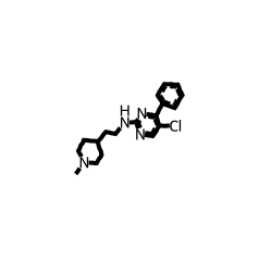 CN1CCC(CCNc2ncc(Cl)c(-c3ccccc3)n2)CC1